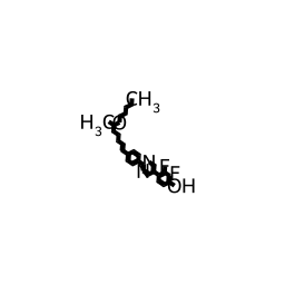 CCCCCOC(C)CCC/C=C/c1ccc(-c2ncc(-c3ccc(O)c(F)c3F)cn2)cc1